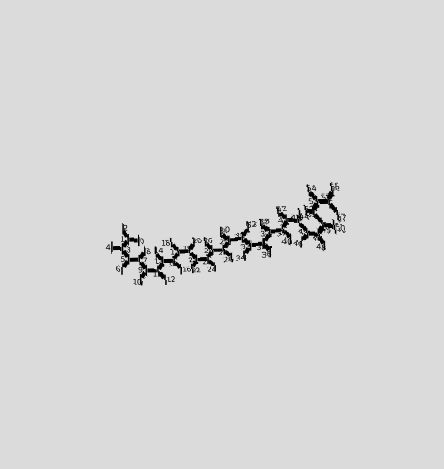 II(I)I(I)I(I)I(I)I(I)I(I)I(I)I(I)I(I)I(I)I(I)I(I)I(I)I(I)I(I)I(I)I(I)I(I)I(I)I(I)I(I)I(I)I(I)I(I)I(I)I(I)I(I)I(I)I